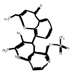 CC(=O)C1=C(C)Nc2ccnc(OS(=O)(=O)C(F)(F)F)c2C1c1cccc2c(=O)cc(C)oc12